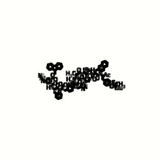 COC(=O)[C@H](Cc1ccc(OCc2cn([C@H]3C[C@@H](C(=O)N[C@@H](Cc4ccc5ccccc5c4)C(=O)N[C@@H](Cc4ccc(O[Si](C)(C)C(C)(C)C)cc4)C(C)=O)N(C(=O)[C@@H](NC(=O)C(C)N(C)C(=O)OC(C)(C)C)C(C)(C)C)C3)nn2)cc1)NC(=O)[C@H](Cc1ccccc1)NC(=O)[C@@H]1C[C@H](N=[N+]=[N-])CN1C(=O)OCC1c2ccccc2-c2ccccc21